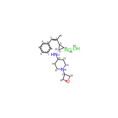 CC(=Cc1ccccc1)C1C[C@@H]1NC1CCN(C2COC2)CC1.Cl.Cl